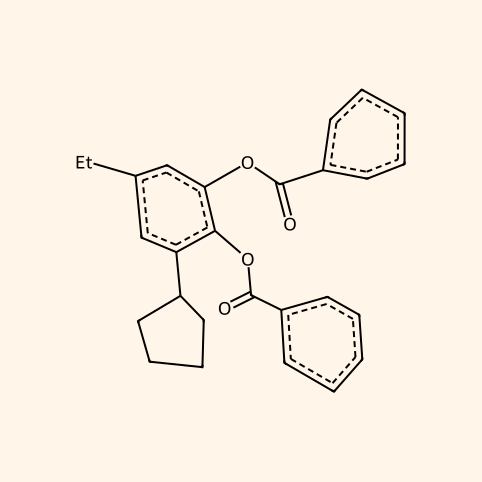 CCc1cc(OC(=O)c2ccccc2)c(OC(=O)c2ccccc2)c(C2CCCC2)c1